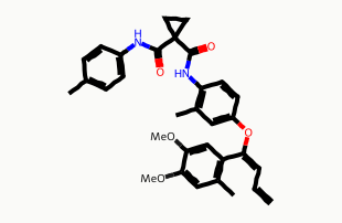 C=C/C=C(/Oc1ccc(NC(=O)C2(C(=O)Nc3ccc(C)cc3)CC2)c(C)c1)c1cc(OC)c(OC)cc1C